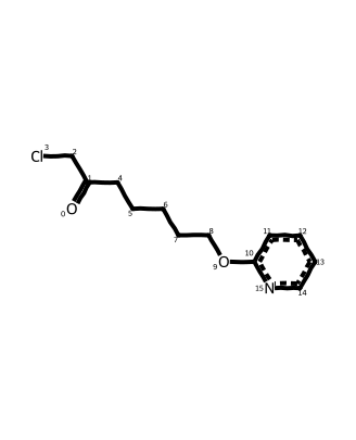 O=C(CCl)CCCCCOc1ccccn1